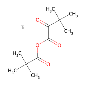 CC(C)(C)C(=O)OC(=O)C(=O)C(C)(C)C.[Ti]